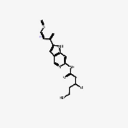 C=N/C=C\C(=C)c1cc2cnc(NC(=O)CC(CC)CCO)cc2[nH]1